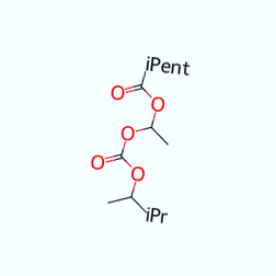 CCCC(C)C(=O)OC(C)OC(=O)OC(C)C(C)C